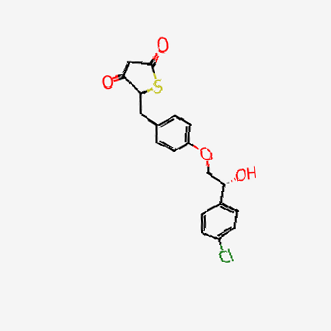 O=C1CC(=O)C(Cc2ccc(OC[C@H](O)c3ccc(Cl)cc3)cc2)S1